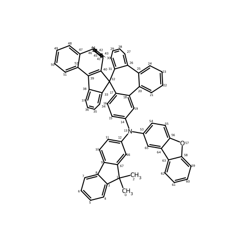 CC1(C)c2ccccc2-c2ccc(N(c3ccc4c(c3)-c3ccccc3-c3ccccc3C43c4ccccc4-c4c3c3ccccc3c3ccccc43)c3ccc4oc5ccccc5c4c3)cc21